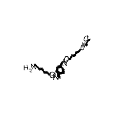 CC(=O)/C(C)=N/OCCCCCCO/N=C/c1ccc(/C=N\OCCCCCCN)cc1